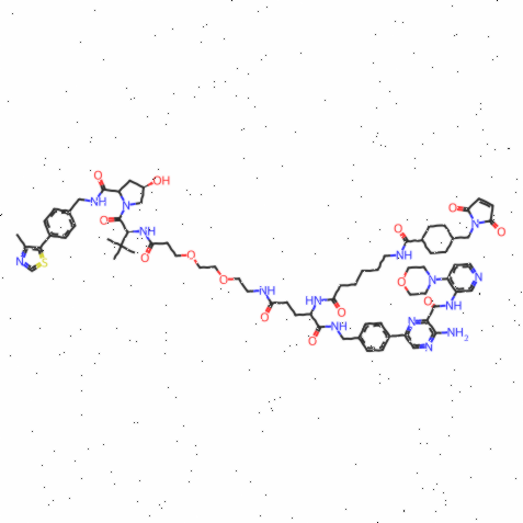 Cc1ncsc1-c1ccc(CNC(=O)C2C[C@@H](O)CN2C(=O)[C@@H](NC(=O)CCOCCOCCNC(=O)CCC(NC(=O)CCCCCNC(=O)C2CCC(CN3C(=O)C=CC3=O)CC2)C(=O)NCc2ccc(-c3cnc(N)c(C(=O)Nc4cnccc4N4CCOCC4)n3)cc2)C(C)(C)C)cc1